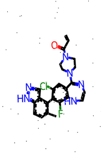 C=CC(=O)N1CCN(C2=NC=CNc3c2cc(Cl)c(-c2c(C)ccc4[nH]ncc24)c3F)CC1